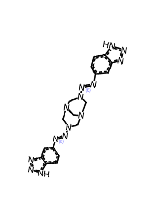 c1cc2[nH]nnc2cc1/N=N/N1CN2CN(C1)CN(/N=N/c1ccc3[nH]nnc3c1)C2